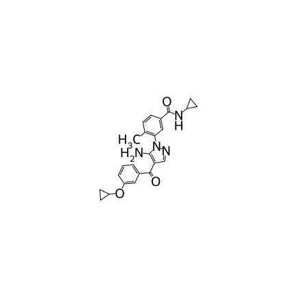 Cc1ccc(C(=O)NC2CC2)cc1-n1ncc(C(=O)c2cccc(OC3CC3)c2)c1N